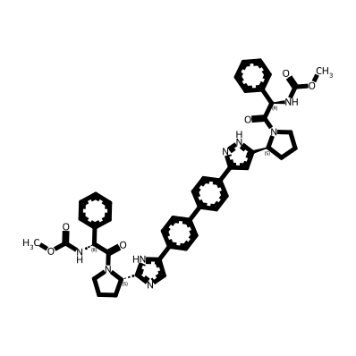 COC(=O)N[C@@H](C(=O)N1CCC[C@H]1c1cc(-c2ccc(-c3ccc(-c4cnc([C@@H]5CCCN5C(=O)[C@H](NC(=O)OC)c5ccccc5)[nH]4)cc3)cc2)n[nH]1)c1ccccc1